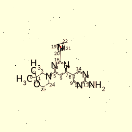 CC1(C)CN(c2cc(-c3cnc(N)nc3)nc(N3CC4CC3C4)n2)CCO1